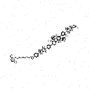 CCC12CCC(CC)(CC1)C21c2cc(C3=NC4=NC(C)=NC4=N3)ccc2-c2cc3c(cc21)-c1ccc(-c2ccc(C4=NC5=NC(c6ccc(OCCCCCCCCCN7C(=O)C=CC7=O)cc6)=NC5=N4)cc2)cc1C31C2(CC)CCC1(CC)CC2